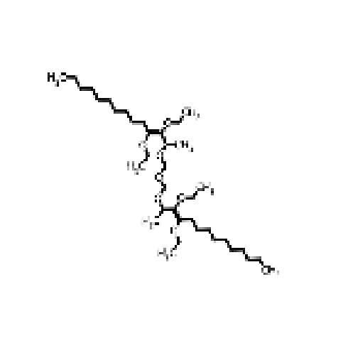 CCCCCCCCCCC(OCC)=C(OCC)C(C)OCOCOC(C)C(OCC)=C(CCCCCCCCCC)OCC